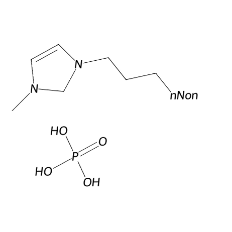 CCCCCCCCCCCCN1C=CN(C)C1.O=P(O)(O)O